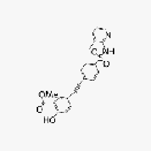 COC(=O)c1cc(C#Cc2ccc(S(=O)(=O)Nc3ncccc3C)cc2)ccc1O